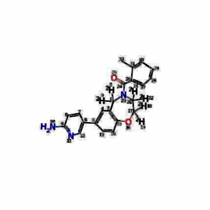 [2H]C1([2H])c2cc(-c3ccc(N)nc3)ccc2OC([2H])([2H])C([2H])([2H])N1C(=O)c1ccccc1C